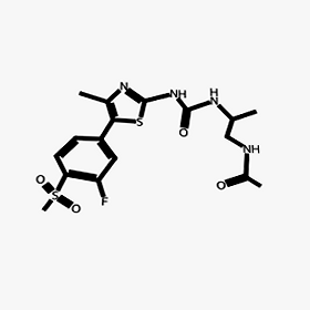 CC(=O)NCC(C)NC(=O)Nc1nc(C)c(-c2ccc(S(C)(=O)=O)c(F)c2)s1